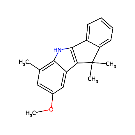 COc1cc(C)c2[nH]c3c(c2c1)C(C)(C)c1ccccc1-3